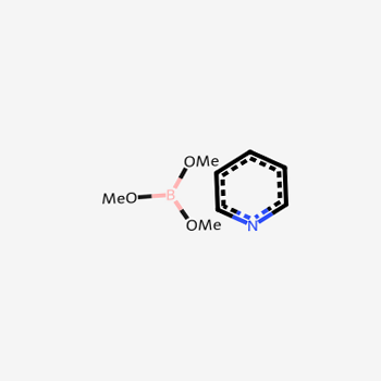 COB(OC)OC.c1ccncc1